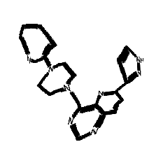 c1ccc(N2CCN(c3ncnc4ccc(-c5cc[nH]n5)nc34)CC2)nc1